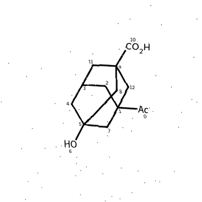 CC(=O)C12CC3CC(O)(C1)CC(C(=O)O)(C3)C2